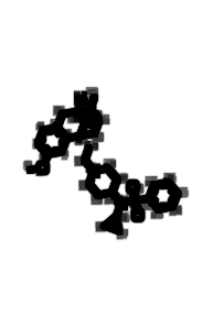 COc1ccc2c(c1)[C@]1(CCN3CCC(N(C4CC4)S(=O)(=O)c4ccccc4)CC3)CCN(C)[C@H](C2)[C@@H]1C